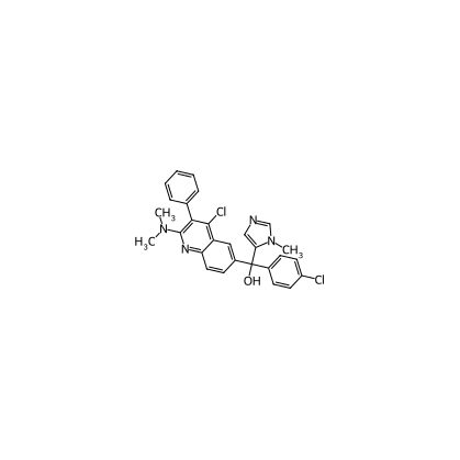 CN(C)c1nc2ccc(C(O)(c3ccc(Cl)cc3)c3cncn3C)cc2c(Cl)c1-c1ccccc1